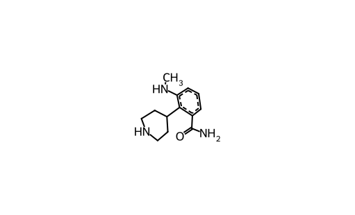 CNc1cccc(C(N)=O)c1C1CCNCC1